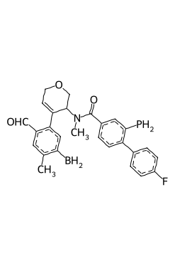 Bc1cc(C2=CCOCC2N(C)C(=O)c2ccc(-c3ccc(F)cc3)c(P)c2)c(C=O)cc1C